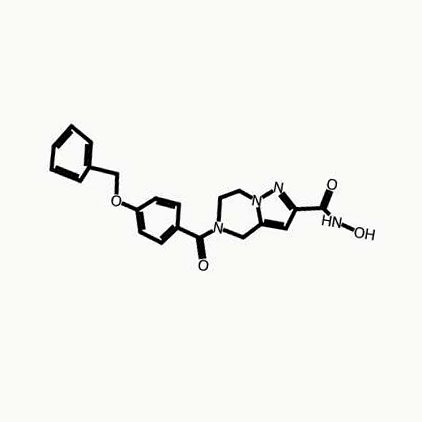 O=C(NO)c1cc2n(n1)CCN(C(=O)c1ccc(OCc3ccccc3)cc1)C2